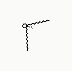 CCCCCCCCCCCCC1CCCCC1(N)CCCCCCCCCCCC